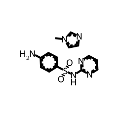 Cn1ccnc1.Nc1ccc(S(=O)(=O)Nc2ncccn2)cc1